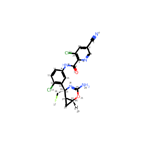 N#Cc1cnc(C(=O)Nc2ccc(Cl)c([C@@]3(CF)N=C(N)O[C@@H]4CC43)c2)c(Cl)c1